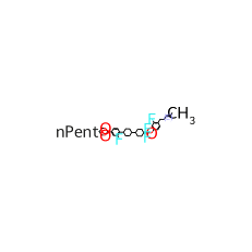 C/C=C/CCc1ccc(OC(F)(F)C2CCC(C3CCC(c4ccc(C5OCC(CCCCC)CO5)cc4F)CC3)CC2)cc1F